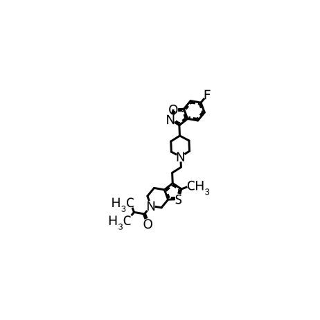 Cc1sc2c(c1CCN1CCC(c3noc4cc(F)ccc34)CC1)CCN(C(=O)C(C)C)C2